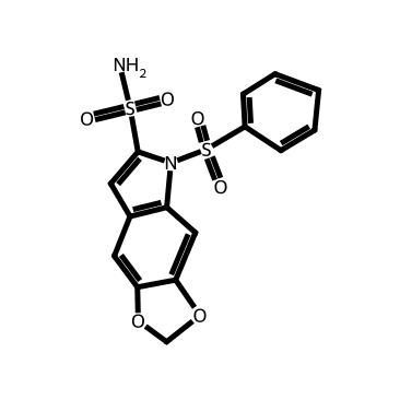 NS(=O)(=O)c1cc2cc3c(cc2n1S(=O)(=O)c1ccccc1)OCO3